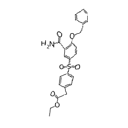 CCOC(=O)Cc1ccc(S(=O)(=O)c2ccc(OCc3ccccc3)c(C(N)=O)c2)cc1